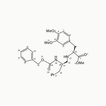 COC(=O)[C@H](Cc1ccc(OC)c(OC)c1)NC[C@@H](CC(C)C)NC(=O)OCc1ccccc1